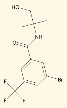 CC(C)(CO)NC(=O)c1cc(Br)cc(C(F)(F)F)c1